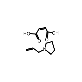 C=CCN1CCCC1.O=C(O)/C=C\C(=O)O